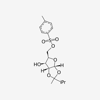 Cc1ccc(S(=O)(=O)OC[C@H]2O[C@@H]3OC(C)(C(C)C)O[C@@H]3[C@H]2O)cc1